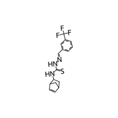 FC(F)(F)c1cccc(C=NNC(=S)NC2CC3C=CC2C3)c1